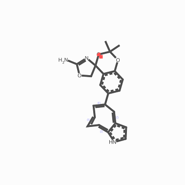 CC1(C)Oc2ccc(C3=C/C=C/C=c4\[nH]cc\c4=C\3)cc2C2(COC(N)=N2)C12COC2